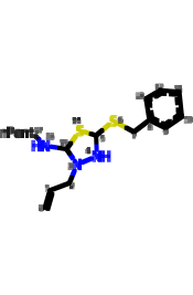 C=CCN1NC(SCc2ccccc2)SC1NCCCCC